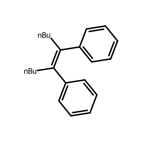 CCCCC(=C(CCCC)c1ccccc1)c1ccccc1